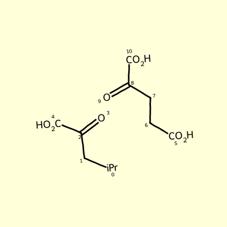 CC(C)CC(=O)C(=O)O.O=C(O)CCC(=O)C(=O)O